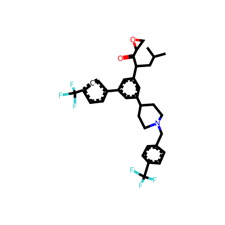 CC(C)CC(C(=O)C1CO1)c1cc(-c2ccc(C(F)(F)F)cc2)cc(C2CCN(Cc3ccc(C(F)(F)F)cc3)CC2)c1